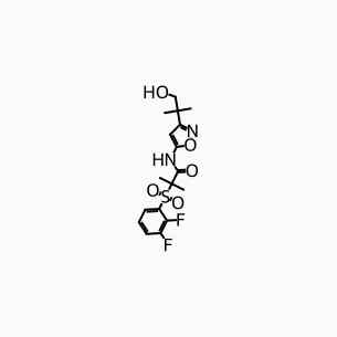 CC(C)(CO)c1cc(NC(=O)C(C)(C)S(=O)(=O)c2cccc(F)c2F)on1